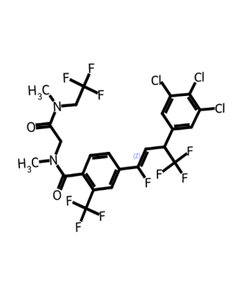 CN(CC(F)(F)F)C(=O)CN(C)C(=O)c1ccc(/C(F)=C/C(c2cc(Cl)c(Cl)c(Cl)c2)C(F)(F)F)cc1C(F)(F)F